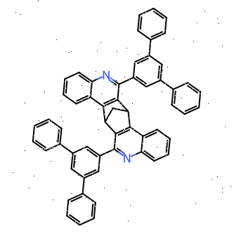 c1ccc(-c2cc(-c3ccccc3)cc(-c3nc4ccccc4c4c3C3CC4c4c(-c5cc(-c6ccccc6)cc(-c6ccccc6)c5)nc5ccccc5c43)c2)cc1